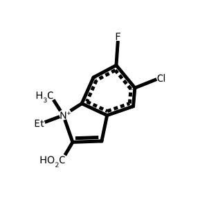 CC[N+]1(C)C(C(=O)O)=Cc2cc(Cl)c(F)cc21